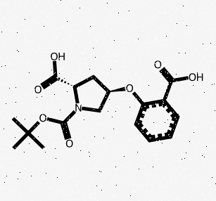 CC(C)(C)OC(=O)N1C[C@H](Oc2ccccc2C(=O)O)C[C@H]1C(=O)O